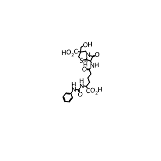 O=C(CCCC(NC(=O)Nc1ccccc1)C(=O)O)NC1C(=O)N2CC(CO)(C(=O)O)CS[C@H]12